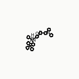 c1ccc(C2N=C(c3cccc4c3-c3ccccc3C4(c3ccccc3)c3ccccc3)N=C(c3ccc4c(c3)oc3ccc(-c5ccc6c(c5)c5ccccc5n6-c5ccccc5)cc34)N2)cc1